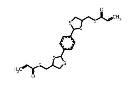 C=CC(=O)SCC1CSC(c2ccc(C3SCC(CSC(=O)C=C)S3)cc2)S1